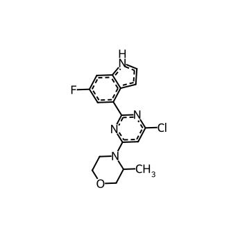 CC1COCCN1c1cc(Cl)nc(-c2cc(F)cc3[nH]ccc23)n1